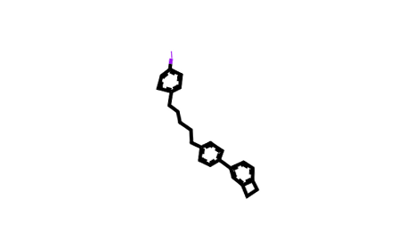 Ic1ccc(CCCCCc2ccc(-c3ccc4c(c3)CC4)cc2)cc1